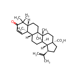 C=C(C)[C@@H]1CC[C@]2(C(=O)O)CC[C@]3(C)[C@H](CC[C@@H]4[C@@]5(C)C=CC(=O)C(C)(C)[C@@H]5CC[C@]43C)[C@@H]12